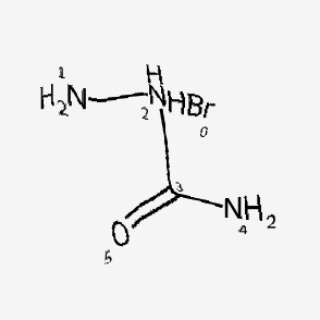 Br.NNC(N)=O